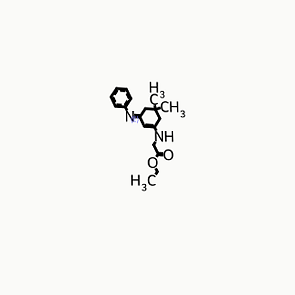 CCOC(=O)CNC1=C/C(=N/c2ccccc2)CC(C)(C)C1